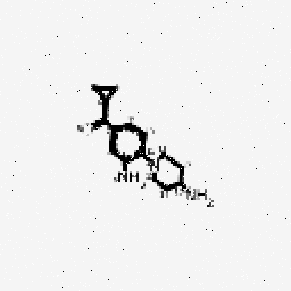 Nc1cc(C(=O)C2CC2)ccc1N1CCC(N)CC1